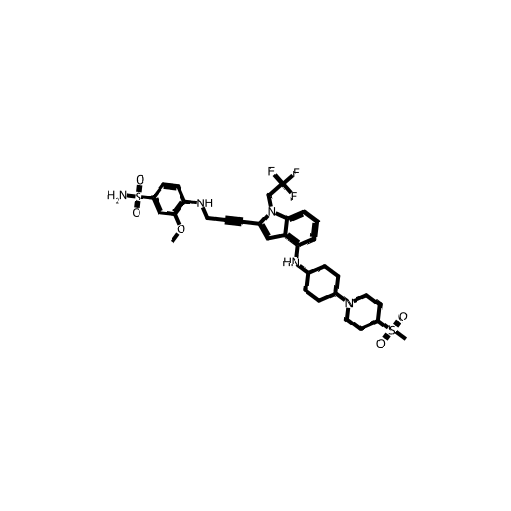 COc1cc(S(N)(=O)=O)ccc1NCC#Cc1cc2c(NC3CCC(N4CCC(S(C)(=O)=O)CC4)CC3)cccc2n1CC(F)(F)F